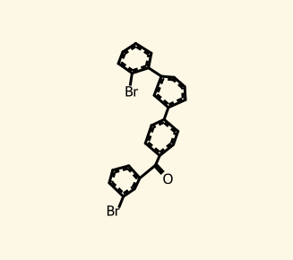 O=C(c1ccc(-c2cccc(-c3ccccc3Br)c2)cc1)c1cccc(Br)c1